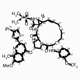 COc1ccc2c(O[C@@H]3C[C@H]4C(=O)N[C@]5(C(=O)NS(=O)(=O)N(C)C)C[C@H]5/C=C\CCCCC[C@H](Nc5cccc(OC(F)(F)F)c5)C(=O)N4C3)cc(-c3nc(C(C)C)cs3)nc2c1C